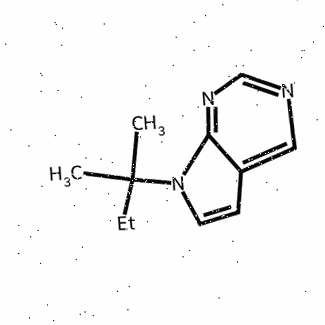 CCC(C)(C)n1ccc2cncnc21